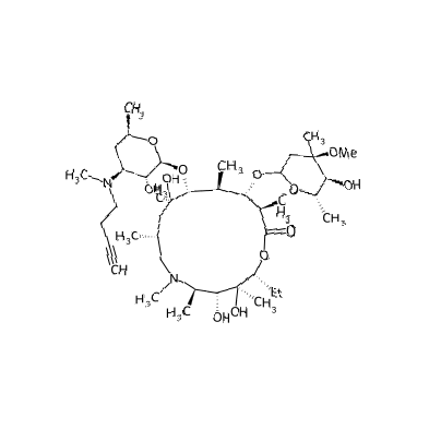 C#CCCN(C)[C@H]1C[C@@H](C)O[C@@H](O[C@@H]2[C@@H](C)[C@H](OC3C[C@@](C)(OC)[C@@H](O)[C@H](C)O3)[C@@H](C)C(=O)O[C@H](CC)[C@@](C)(O)[C@H](O)[C@@H](C)N(C)C[C@H](C)C[C@@]2(C)O)[C@@H]1O